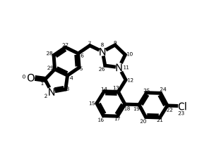 O=C1N=Cc2cc(CN3CCN(Cc4ccccc4-c4ccc(Cl)cc4)C3)ccc21